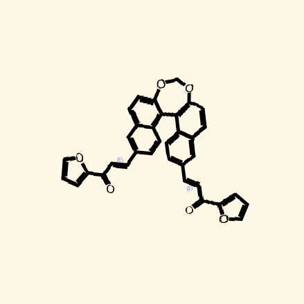 O=C(/C=C/c1ccc2c3c(ccc2c1)OCOc1ccc2cc(/C=C/C(=O)c4ccco4)ccc2c1-3)c1ccco1